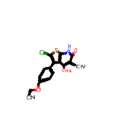 N#CCOc1ccc(-c2c(Cl)sc3[nH]c(=O)c(C#N)c(O)c23)cc1